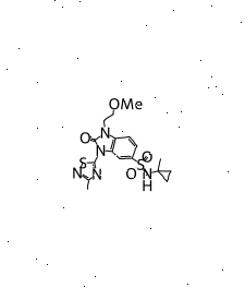 COCCn1c(=O)n(-c2nc(C)ns2)c2cc(S(=O)(=O)NC3(C)CC3)ccc21